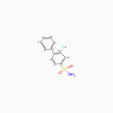 NS(=O)(=O)c1ccc(-c2ccccc2)c(F)c1